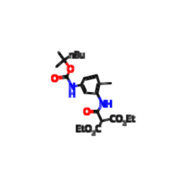 CCCCC(C)(C)OC(=O)Nc1ccc(C)c(NC(=O)C(C(=O)OCC)C(=O)OCC)c1